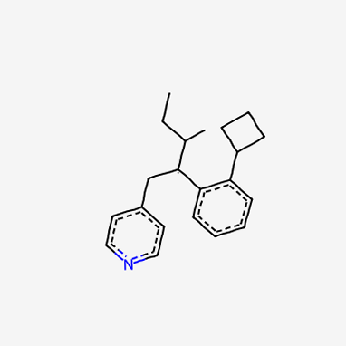 CCC(C)[C](Cc1ccncc1)c1ccccc1C1CCC1